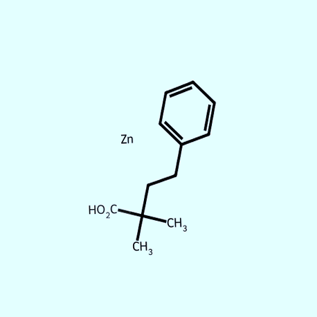 CC(C)(CCc1ccccc1)C(=O)O.[Zn]